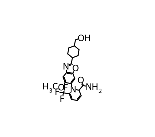 COc1cc2nc(C3CCC(CO)CC3)oc2cc1N1C(C(F)(F)F)=CC=CC1C(N)=O